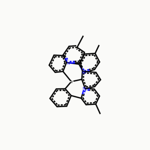 Cc1ccnc(-c2cccc[c]2[Ir]([c]2ccccc2-c2cc(C)ccn2)[c]2ccccc2-c2cc(C)ccn2)c1